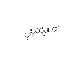 O=C(Nc1cc(-c2cccc(NCc3ccc(F)cc3)n2)c(Cl)cn1)[C@@H]1CCCNC1